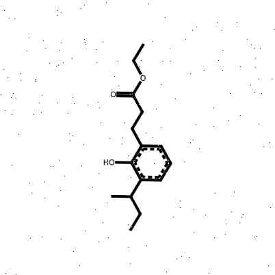 CCOC(=O)CCc1cccc(C(C)CC)c1O